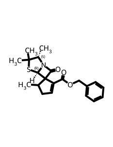 CC1CC=C(C(=O)OCc2ccccc2)C12C(=O)N1[C@@H](C)C(C)(C)S[C@@H]12